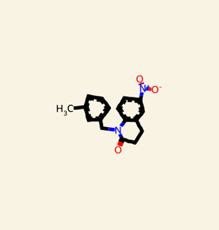 Cc1cccc(CN2C(=O)CCc3cc([N+](=O)[O-])ccc32)c1